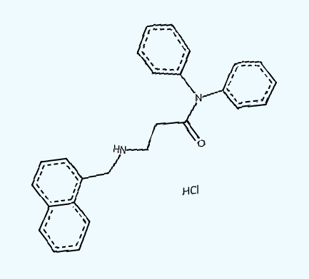 Cl.O=C(CCNCc1cccc2ccccc12)N(c1ccccc1)c1ccccc1